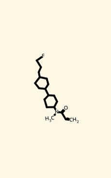 C=CC(=O)N(C)C1CCC(C2CCC(CCCF)CC2)CC1